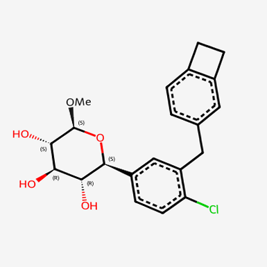 CO[C@H]1O[C@@H](c2ccc(Cl)c(Cc3ccc4c(c3)CC4)c2)[C@H](O)[C@@H](O)[C@@H]1O